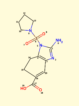 Nc1nc2c(n1S(=O)(=O)N1CCCC1)CCC(C(=O)O)=C2